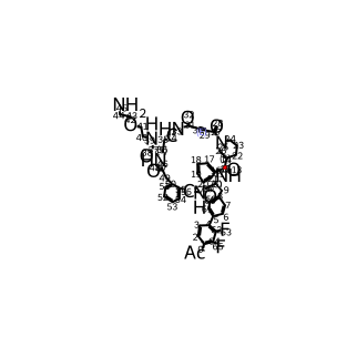 CC(=O)c1ccc(-c2ccc(C[C@@H]3NC(=O)[C@]4(Cc5ccccc5)CCCN(C4)C(=O)/C=C/C(=O)NCC[C@@H](C(=O)NCCOCCN)NC(=O)Cc4ccccc4CNC3=O)cc2)c(F)c1F